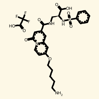 NCCCCCOc1ccn2c(=O)cc(C(=O)NC[C@H](NS(=O)(=O)c3ccccc3)C(=O)O)cc2c1.O=C(O)C(F)(F)F